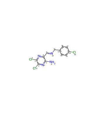 Nc1nc(Cl)c(Cl)nc1C=NCc1ccc(Cl)cc1